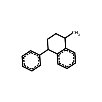 CC1CCC(c2ccccc2)c2ccccc21